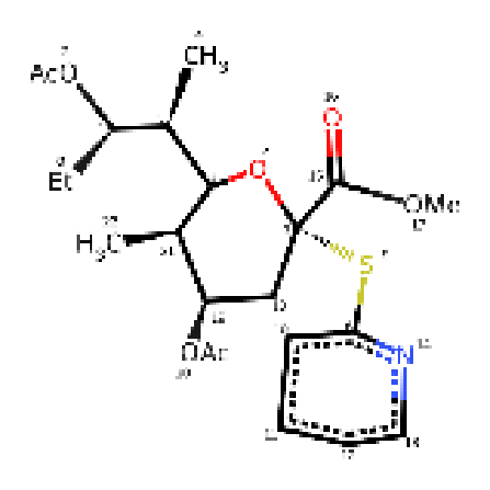 CC[C@@H](OC(C)=O)[C@@H](C)C1O[C@@](Sc2ccccn2)(C(=O)OC)C[C@@H](OC(C)=O)[C@H]1C